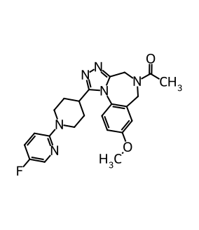 COc1ccc2c(c1)CN(C(C)=O)Cc1nnc(C3CCN(c4ccc(F)cn4)CC3)n1-2